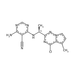 Cc1ccn2nc([C@H](C)Nc3ncnc(N)c3C#N)nc(Cl)c12